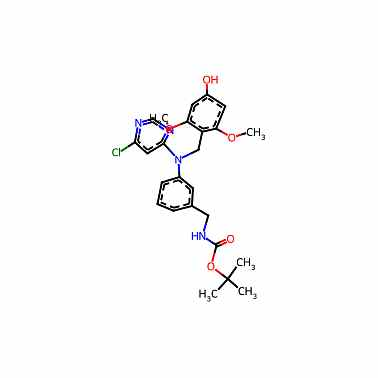 COc1cc(O)cc(OC)c1CN(c1cccc(CNC(=O)OC(C)(C)C)c1)c1cc(Cl)ncn1